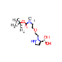 CN(CCOCCN1NCC=C1B(O)O)C(=O)OC(C)(C)C